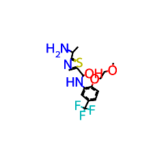 COCCOc1ccc(C(F)(F)F)cc1NC(O)c1cnc(C(C)N)s1